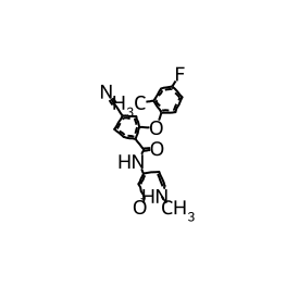 CN/C=C\C(=C/C=O)NC(=O)c1ccc(C#N)cc1Oc1ccc(F)cc1C